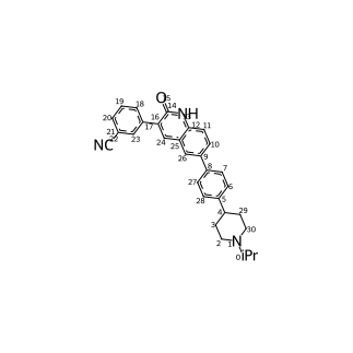 CC(C)N1CCC(c2ccc(-c3ccc4[nH]c(=O)c(-c5cccc(C#N)c5)cc4c3)cc2)CC1